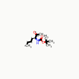 CCCC[C@H](NC(=O)OC(C)(C)C)C(C)=O